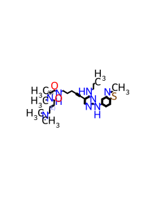 CCCNc1nc(Nc2ccc3sc(C)nc3c2)ncc1C#CCCCNC(=O)[C@H](C)N(C)C(=O)/C=C/CN(C)C